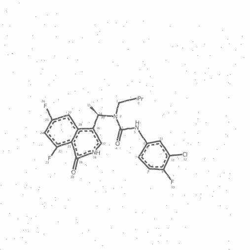 CC(C)CN(C(=O)Nc1ccc(F)c(Cl)c1)[C@H](C)c1c[nH]c(=O)c2c(F)cc(F)cc12